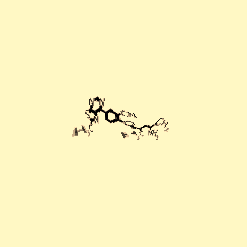 Cc1nc2c(-c3ccc(OCC(C)CC(C)N)c(C#N)c3)ncnc2s1